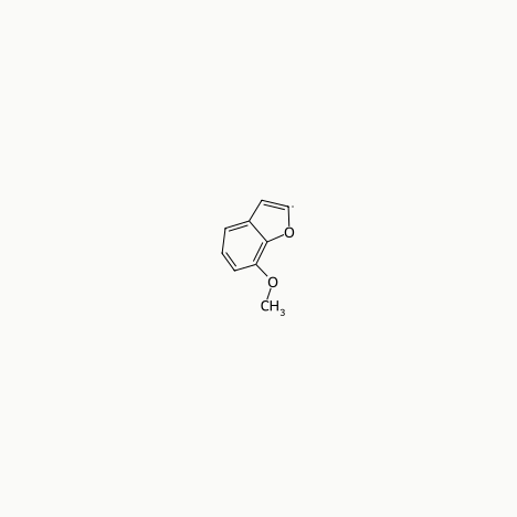 COc1cccc2c[c]oc12